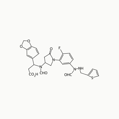 O=CN(NCc1cccs1)c1ccc(F)c(N2CC(N(C=O)C(CC(=O)O)c3ccc4c(c3)OCO4)CC2=O)c1